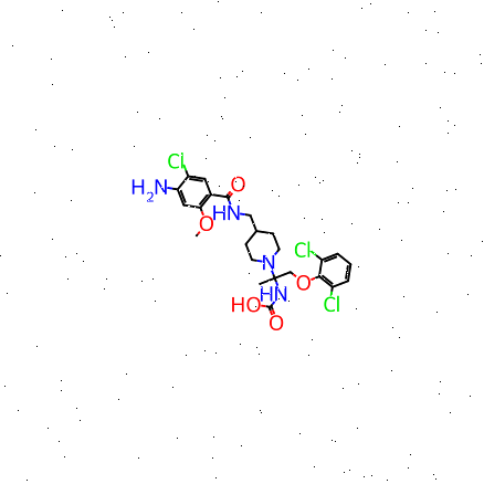 COc1cc(N)c(Cl)cc1C(=O)NCC1CCN(C(C)(COc2c(Cl)cccc2Cl)NC(=O)O)CC1